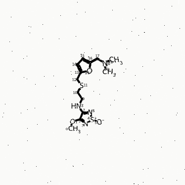 COc1n[s+]([O-])nc1NCCSCc1ccc(CN(C)C)o1